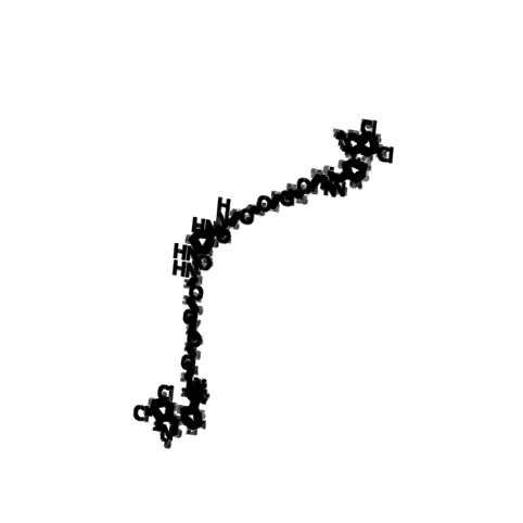 CN1Cc2c(Cl)cc(Cl)cc2[C@H](c2cccc(-c3cn(CCOCCOCCOCCOCCNC(=O)Nc4ccc(NC(=O)NCCOCCOCCOCCOCCn5cc(-c6cccc([C@@H]7CN(C)Cc8c(Cl)cc(Cl)cc87)c6)nn5)cc4)nn3)c2)C1